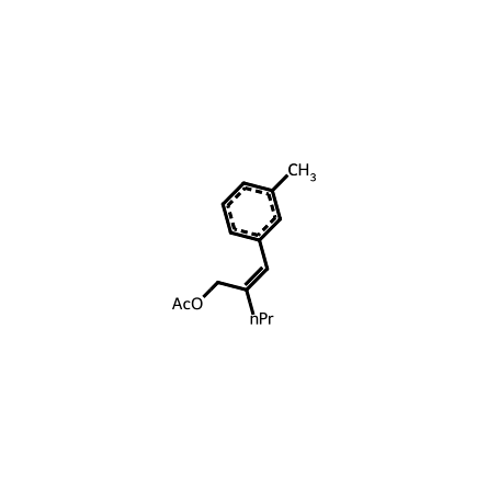 CCCC(=Cc1cccc(C)c1)COC(C)=O